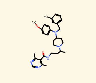 Cc1ncnc(C)c1C(=O)NCCC(C)N1CCC(N(Cc2cccc(C#N)c2)c2ccc(OC(F)(F)F)cc2)CC1